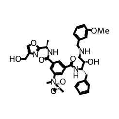 COc1cccc(CNC[C@@H](O)[C@H](Cc2ccccc2)NC(=O)c2cc(C(=O)N[C@H](C)c3nc(CO)co3)cc(N(C)S(C)(=O)=O)c2)c1